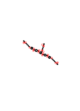 C=CC(=O)OCCCCCCOc1ccc(OC(=O)C2CCC(C(=O)Oc3ccc(OC(=O)C4CCC(C(=O)Oc5ccc(OCCCCCCOC(=O)C=C)cc5)CC4)c(C(=O)OCCCCOC(=O)C=C)c3)CC2)cc1